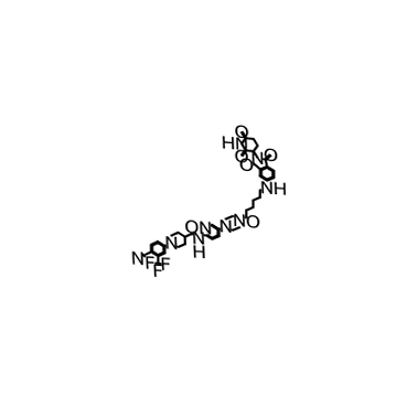 N#Cc1ccc(N2CCC(C(=O)Nc3ccc(N4CCN(C(=O)CCCCCNc5ccc6c(c5)C(=O)N(C5CCC(=O)NC5=O)C6=O)CC4)cn3)CC2)cc1C(F)(F)F